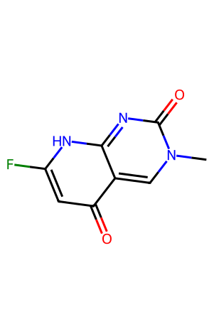 Cn1cc2c(=O)cc(F)[nH]c2nc1=O